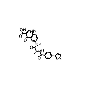 C[C@H](NC(=O)c1ccc(-c2ccsc2)cc1)C(=O)Nc1ccc2[nH]cc(C(=O)O)c(=O)c2c1